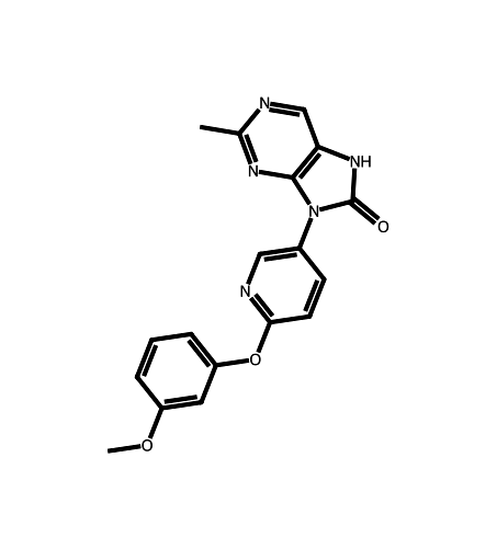 COc1cccc(Oc2ccc(-n3c(=O)[nH]c4cnc(C)nc43)cn2)c1